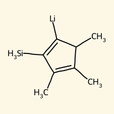 [Li][C]1=C([SiH3])C(C)=C(C)C1C